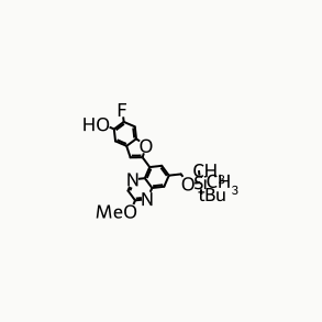 COc1cnc2c(-c3cc4cc(O)c(F)cc4o3)cc(CO[Si](C)(C)C(C)(C)C)cc2n1